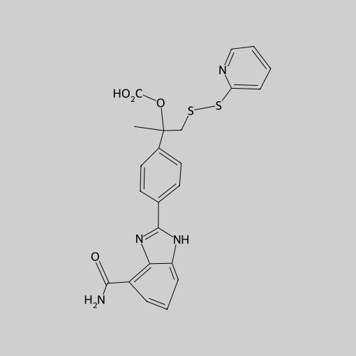 CC(CSSc1ccccn1)(OC(=O)O)c1ccc(-c2nc3c(C(N)=O)cccc3[nH]2)cc1